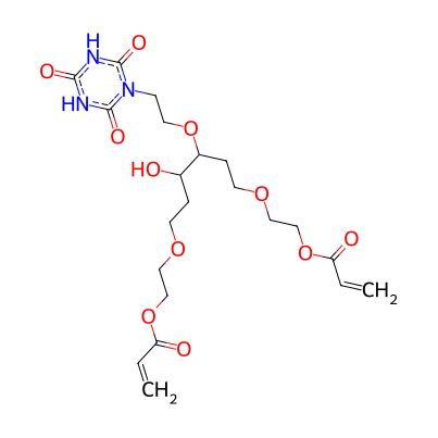 C=CC(=O)OCCOCCC(O)C(CCOCCOC(=O)C=C)OCCn1c(=O)[nH]c(=O)[nH]c1=O